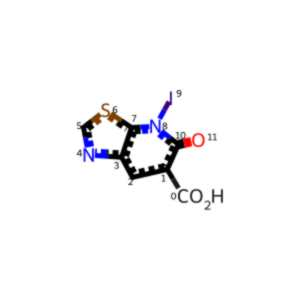 O=C(O)c1cc2ncsc2n(I)c1=O